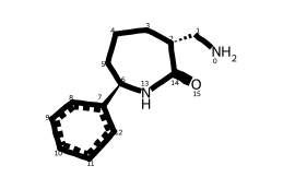 NC[C@H]1CCC[C@H](c2ccccc2)NC1=O